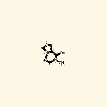 Cn1cnn2cncc2c1=O